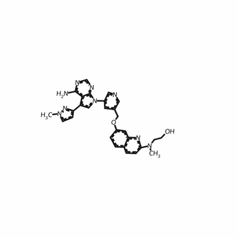 CN(CCO)c1ccc2ccc(OCc3cncc(-n4cc(-c5ccn(C)n5)c5c(N)ncnc54)c3)cc2n1